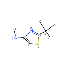 CNc1csc(C(C)(C)C)n1